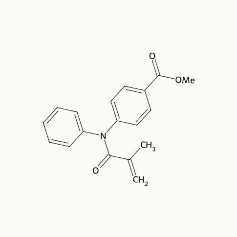 C=C(C)C(=O)N(c1ccccc1)c1ccc(C(=O)OC)cc1